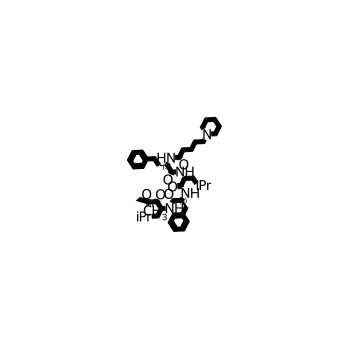 CC(C)CC(NC(=O)[C@H](CCc1ccccc1)NC(=O)CCCCN1CCCCC1)C(=O)N[C@@H](Cc1ccccc1)C(=O)NC(CC(C)C)C(=O)[C@@]1(C)CO1